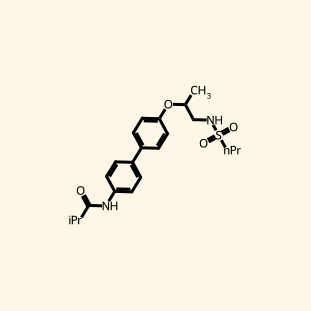 CCCS(=O)(=O)NCC(C)Oc1ccc(-c2ccc(NC(=O)C(C)C)cc2)cc1